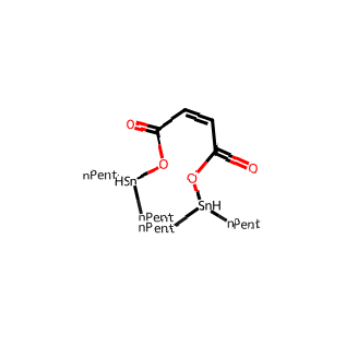 CCCC[CH2][SnH]([CH2]CCCC)[O]C(=O)/C=C\C(=O)[O][SnH]([CH2]CCCC)[CH2]CCCC